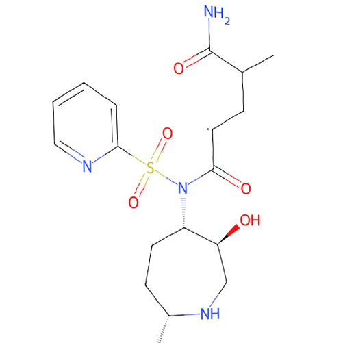 CC(C[CH]C(=O)N([C@H]1CC[C@@H](C)NC[C@@H]1O)S(=O)(=O)c1ccccn1)C(N)=O